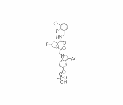 CC(=O)c1cn(CC(=O)N2C[C@H](F)C[C@H]2C(=O)NCc2cccc(Cl)c2F)c2ccc(OOP(C)(=O)O)cc12